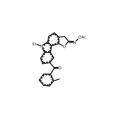 CCn1c2ccc(C(=O)c3ccccc3C)cc2c2c3c(ccc21)C/C(=N\OC(C)=O)O3